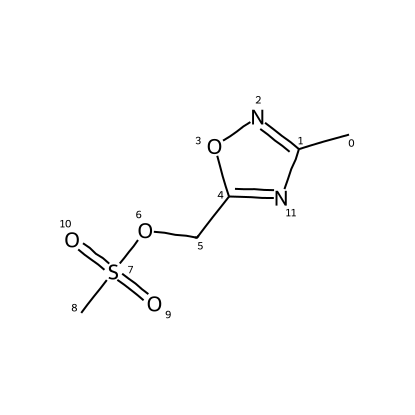 Cc1noc(COS(C)(=O)=O)n1